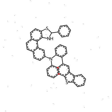 c1ccc(C2Nc3c(ccc4ccc5ccc(N(c6ccccc6)c6ccccc6-c6ccc7sc8ccccc8c7c6)cc5c34)S2)cc1